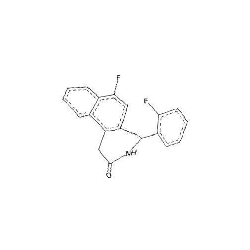 O=C1Cc2c(cc(F)c3ccccc23)C(c2ccccc2F)N1